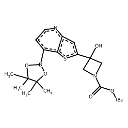 CC(C)(C)OC(=O)N1CC(O)(c2cc3nccc(B4OC(C)(C)C(C)(C)O4)c3s2)C1